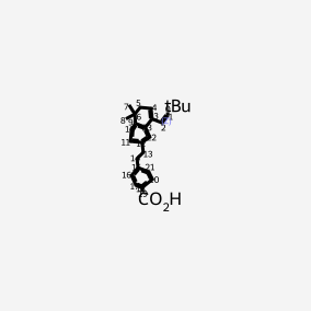 CC(C)(C)/C=C\C1=CCC(C)(C)c2ccc(CCc3ccc(C(=O)O)cc3)cc21